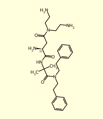 CC(C)(NC(=O)[C@@H](N)CC(=O)N(CCN)CCN)C(=O)N(CCc1ccccc1)CCc1ccccc1